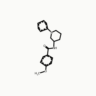 COc1ccc(C(=O)NC2CCCN(c3ccccc3)C2)cc1